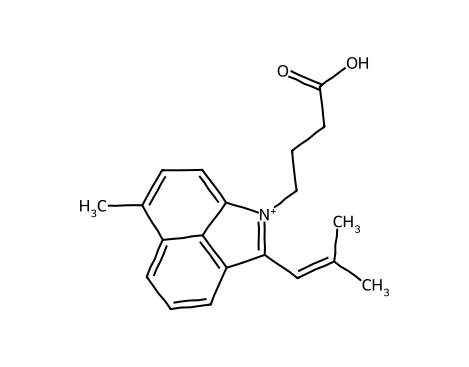 CC(C)=CC1=[N+](CCCC(=O)O)c2ccc(C)c3cccc1c23